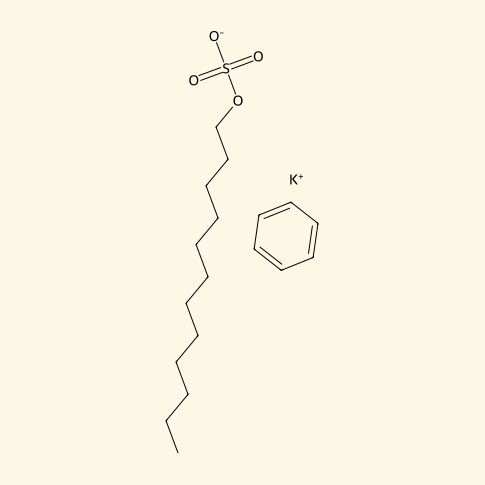 CCCCCCCCCCCCOS(=O)(=O)[O-].[K+].c1ccccc1